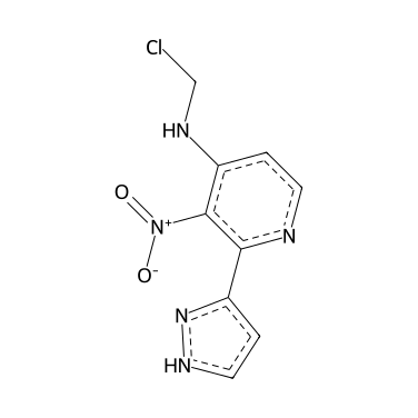 O=[N+]([O-])c1c(NCCl)ccnc1-c1cc[nH]n1